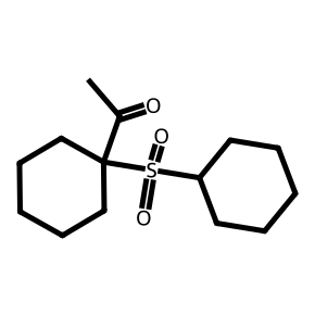 CC(=O)C1(S(=O)(=O)C2CCCCC2)CCCCC1